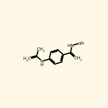 C=C(C)Nc1ccc(C(=C)NCCC)cc1